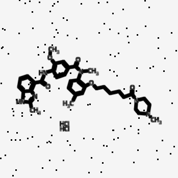 COc1cc(C(=O)N(C)c2ccc(C)cc2OCCCCCC(=O)N2CCN(C)CC2)ccc1NC(=O)c1cccc2[nH]c(C)nc12.Cl.Cl